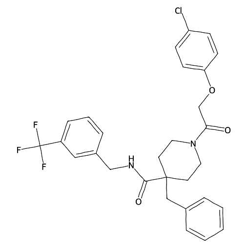 O=C(COc1ccc(Cl)cc1)N1CCC(Cc2ccccc2)(C(=O)NCc2cccc(C(F)(F)F)c2)CC1